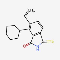 C=Cc1ccc2c(c1C1CCCCC1)C(=O)NC2=S